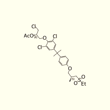 CCS(=O)(=O)C[C@@H](C)COc1ccc(C(C)(C)c2cc(Cl)c(OC[C@H](CCl)OC(C)=O)c(Cl)c2)cc1